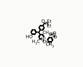 CCN(CC)C(=O)c1ccc(C(c2cccc(O)c2)c2cc(C)[n+](C)cc2C)cc1.Cc1ccc(S(=O)(=O)[O-])cc1